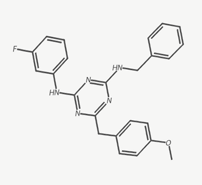 COc1ccc(Cc2nc(NCc3ccccc3)nc(Nc3cccc(F)c3)n2)cc1